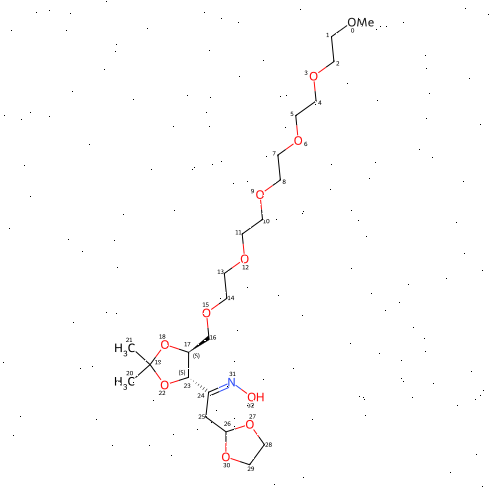 COCCOCCOCCOCCOCCOC[C@@H]1OC(C)(C)O[C@H]1C(CC1OCCO1)=NO